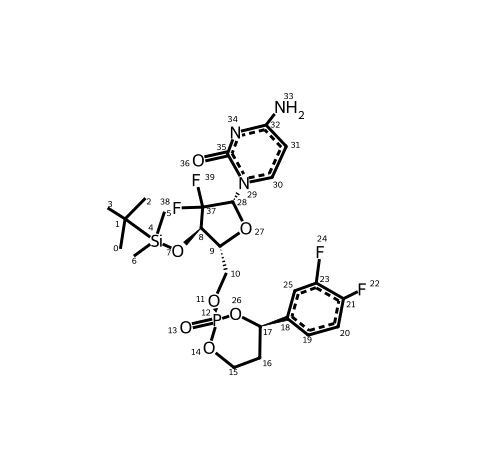 CC(C)(C)[Si](C)(C)O[C@@H]1[C@@H](CO[P@]2(=O)OCC[C@H](c3ccc(F)c(F)c3)O2)O[C@@H](n2ccc(N)nc2=O)C1(F)F